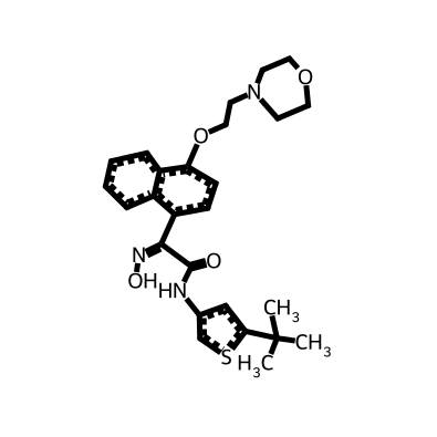 CC(C)(C)c1cc(NC(=O)C(=NO)c2ccc(OCCN3CCOCC3)c3ccccc23)cs1